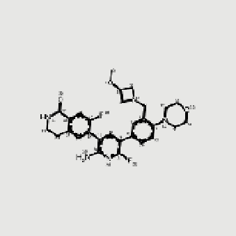 COC1CN(Cc2cc(-c3cc(-c4cc5c(cc4F)C(=O)NCC5)c(N)nc3F)ccc2N2CCOCC2)C1